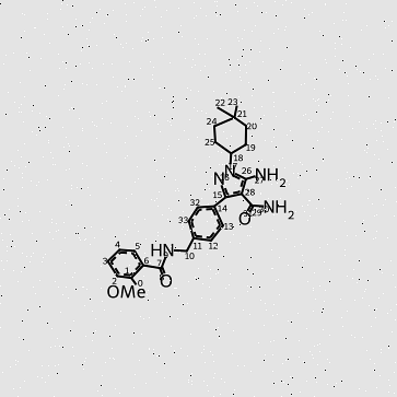 COc1ccccc1C(=O)NCc1ccc(-c2nn(C3CCC(C)(C)CC3)c(N)c2C(N)=O)cc1